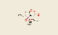 C=CCOP(=O)(OCC=C)C(CC(=O)[O-])C(=O)[O-].[Na+].[Na+]